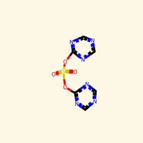 O=S(=O)(Oc1ncncn1)Oc1ncncn1